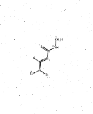 CCN(CC)/C(C)=N/C(=S)NC(=O)O